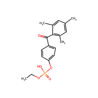 CCOP(=O)(O)Oc1ccc(C(=O)c2c(C)cc(C)cc2C)cc1